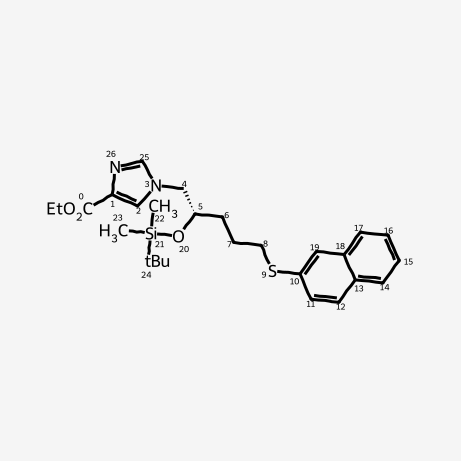 CCOC(=O)c1cn(C[C@H](CCCSc2ccc3ccccc3c2)O[Si](C)(C)C(C)(C)C)cn1